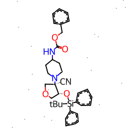 CC(C)(C)[Si](O[C@@H]1COC[C@@]1(C#N)N1CCC(NC(=O)OCc2ccccc2)CC1)(c1ccccc1)c1ccccc1